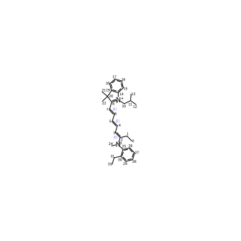 CC\C(=C/C=C/C=C/C1=[N+](CC(C)C)c2ccccc2C1(C)C)N(C)c1ccccc1CC